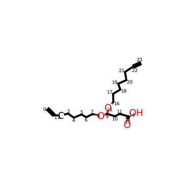 C#CCCCCCCOC(CCC(=O)O)OCCCCCCC#C